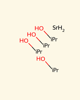 CC(C)O.CC(C)O.CC(C)O.CC(C)O.[SrH2]